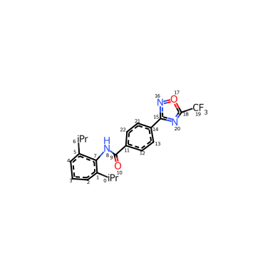 CC(C)c1cccc(C(C)C)c1NC(=O)c1ccc(-c2noc(C(F)(F)F)n2)cc1